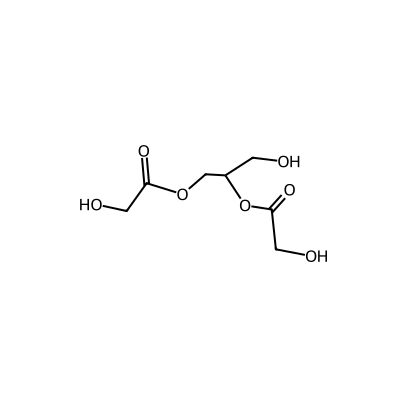 O=C(CO)OCC(CO)OC(=O)CO